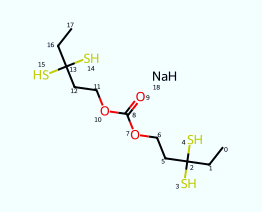 CCC(S)(S)CCOC(=O)OCCC(S)(S)CC.[NaH]